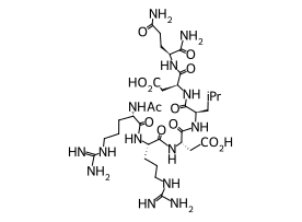 CC(=O)N[C@@H](CCCNC(=N)N)C(=O)N[C@@H](CCCNC(=N)N)C(=O)N[C@@H](CC(=O)O)C(=O)N[C@H](CC(C)C)C(=O)N[C@@H](CC(=O)O)C(=O)N[C@@H](CCC(N)=O)C(N)=O